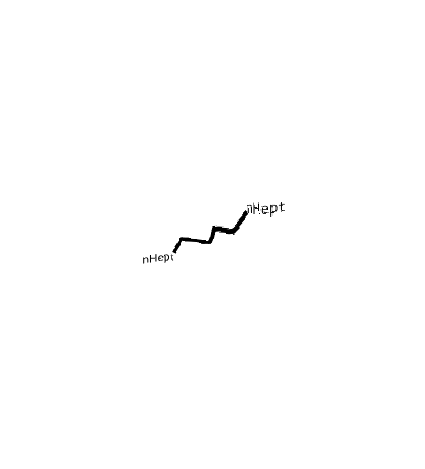 [CH2]CCCCCCCCCCCCCC[CH]CC